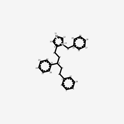 c1ccc(CCC(CCc2cncn2Cc2ccccc2)c2ccccc2)cc1